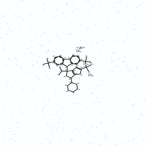 CC(C)C1(C2c3cc(C(C)(C)C)ccc3-c3ccc(C(C)(C)C)cc32)CC(C2CCCCC2)C2=C1C=C(C(C)(C)C)C2.[Cl-].[Cl-].[Zr+2]